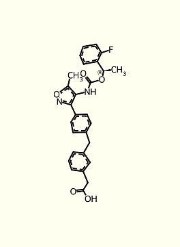 Cc1onc(-c2ccc(Cc3cccc(CC(=O)O)c3)cc2)c1NC(=O)O[C@H](C)c1ccccc1F